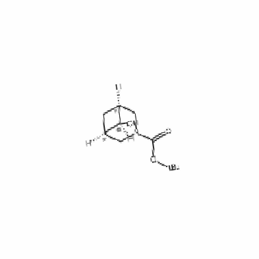 CC(C)(C)OC(=O)N1C[C@H]2C[C@@H](C1)[C@H]2O